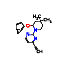 C#Cc1ccnc(N2CCC(C)(C)CC2=O)n1.c1cc2cc-2c1